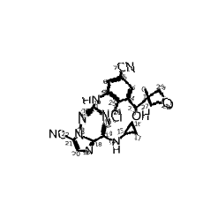 CC1(C(O)c2cc(C#N)cc(Nc3nc(NC4CC4)c4ncc(C#N)n4n3)c2Cl)COC1